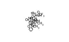 CN1C(=O)[C@H](C[C@H](NC(=O)[C@@H]2[C@@H]3[C@H](CN2C(=O)[C@@H](NC(=O)C(F)(F)F)C(C)(C)C)C3(C)C)C(N)=O)Oc2ccccc21